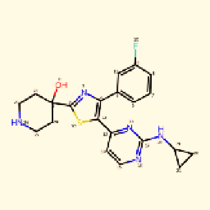 OC1(c2nc(-c3cccc(F)c3)c(-c3ccnc(NC4CC4)n3)s2)CCNCC1